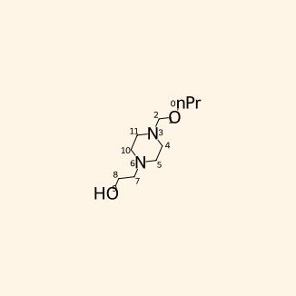 CCCOCN1CCN(CCO)CC1